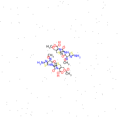 CO/N=C(/C(=O)N[C@@H]1C(=O)N2C(C(=O)O)=C(COC(C)=O)CS[C@H]12)c1csc(N)n1.COCC1=C(C(=O)O)N2C(=O)[C@@H](NC(=O)/C(=N\OC)c3csc(N)n3)[C@H]2SC1